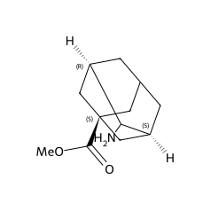 COC(=O)[C@]12CC3C[C@H](C1)C(N)[C@@H](C3)C2